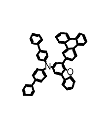 c1ccc(-c2ccc(N(c3ccc(-c4ccccc4)cc3)c3cc(-c4ccc5c6ccccc6c6ccccc6c5c4)c4oc5ccccc5c4c3)cc2)cc1